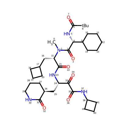 CN(C(=O)[C@H](NC(=O)C(C)(C)C)C1CCCCC1)[C@@H](CC1CCC1)C(=O)N[C@@H](C[C@@H]1CCCNC1=O)C(=O)C(=O)NC1CCC1